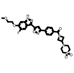 COCCOc1cc2[nH]nc(-c3cc(-c4ccc(C(=O)N5CC(N6CCS(=O)(=O)CC6)C5)cc4)no3)c2cc1F